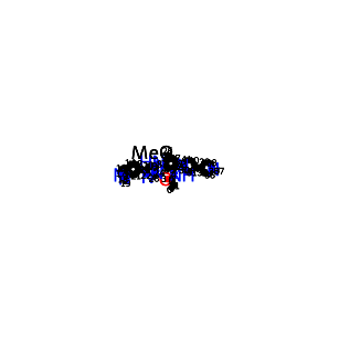 C=CC(=O)Nc1cc(Nc2cc(-c3ccc4cnn(C)c4c3)ncn2)c(OC)cc1N1CCC(C2CCN(C)CC2)CC1